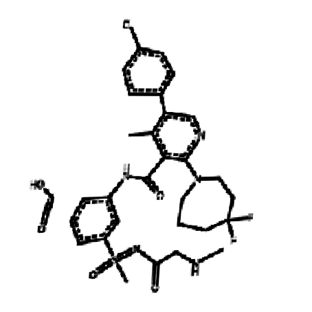 CNCC(=O)N=S(C)(=O)c1cccc(NC(=O)c2c(N3CCCC(F)(F)CC3)ncc(-c3ccc(Cl)cc3)c2C)c1.O=CO